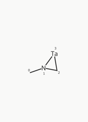 C[N]1[CH2][Ta]1